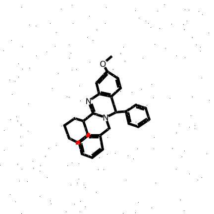 COc1ccc2c(c1)N=C(C1CCCCC1)N(Cc1ccccc1)C2c1ccccc1